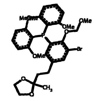 COCOc1c(Br)cc(CCC2(C)OCCO2)cc1P(c1c(OC)cccc1OC)c1c(OC)cccc1OC